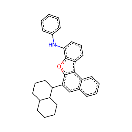 c1ccc(Nc2cccc3c2oc2c(C4CCCC5CCCCC54)cc4ccccc4c23)cc1